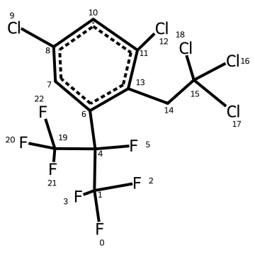 FC(F)(F)C(F)(c1cc(Cl)[c]c(Cl)c1CC(Cl)(Cl)Cl)C(F)(F)F